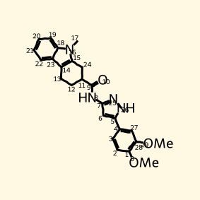 COc1ccc(-c2cc(NC(=O)C3CCc4c(n(C)c5ccccc45)C3)n[nH]2)cc1OC